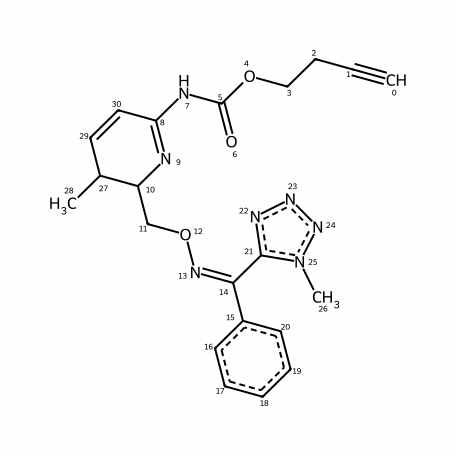 C#CCCOC(=O)NC1=NC(CO/N=C(/c2ccccc2)c2nnnn2C)C(C)C=C1